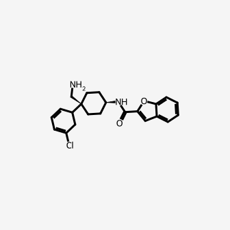 NC[C@]1(C2C=CC=C(Cl)C2)CC[C@H](NC(=O)c2cc3ccccc3o2)CC1